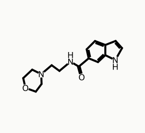 O=C(NCCN1CCOCC1)c1ccc2cc[nH]c2c1